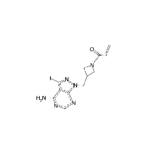 C=CC(=O)N1CC(Cn2nc(I)c3c(N)ncnc32)C1